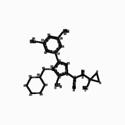 Cc1c(C(=O)NC2(C#N)CC2)cc(-c2cc(C(C)(C)C)cc(C(C)(C)C)c2)n1CC1CCCCC1